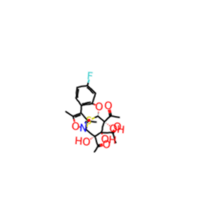 CC(=O)[C@]1(O)[C@@](O)(C(C)=O)CS[C@H](Oc2cc(F)ccc2-c2c(C)noc2C)[C@@]1(O)C(C)=O